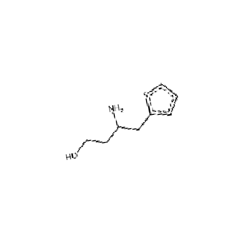 NC(CCO)Cc1cccs1